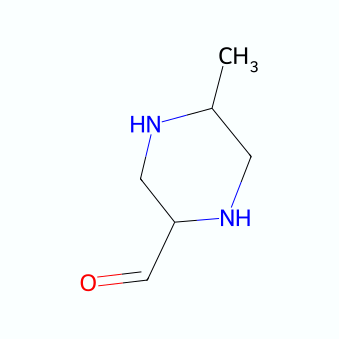 CC1CNC(C=O)CN1